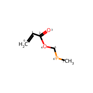 C=CC(=O)OC[P]C